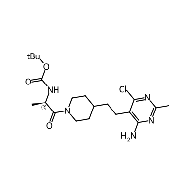 Cc1nc(N)c(CCC2CCN(C(=O)[C@@H](C)NC(=O)OC(C)(C)C)CC2)c(Cl)n1